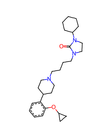 O=C1N(CCCCN2CCC(c3ccccc3OC3CC3)CC2)CCN1C1CCCCC1